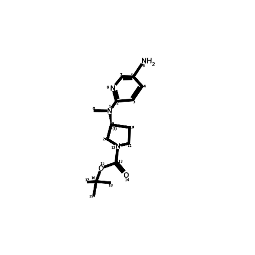 CN(c1ccc(N)cn1)[C@H]1CCN(C(=O)OC(C)(C)C)C1